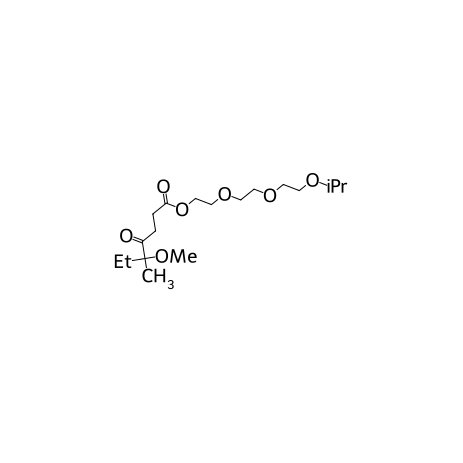 CCC(C)(OC)C(=O)CCC(=O)OCCOCCOCCOC(C)C